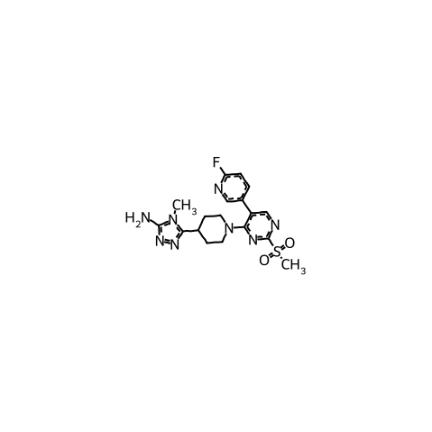 Cn1c(N)nnc1C1CCN(c2nc(S(C)(=O)=O)ncc2-c2ccc(F)nc2)CC1